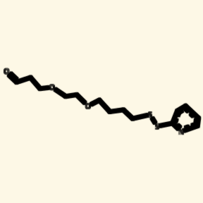 O=CCCOCCOCCCCSSc1ccccn1